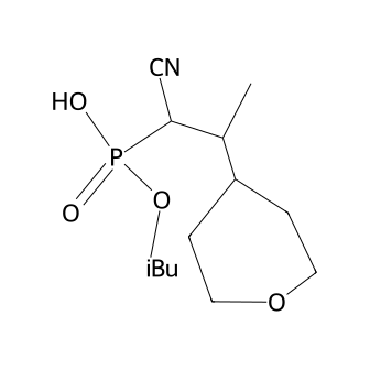 CCC(C)OP(=O)(O)C(C#N)C(C)C1CCOCC1